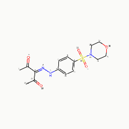 CC(=O)C(=NNc1ccc(S(=O)(=O)N2CCOCC2)cc1)C(C)=O